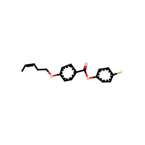 C/C=C\CCOc1ccc(C(=O)Oc2ccc(F)cc2)cc1